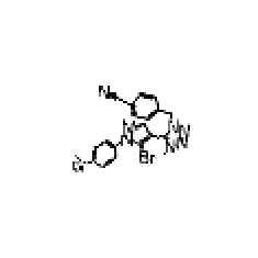 N#Cc1ccc(Cn2nnnc2-c2cnn(-c3ccc(Br)cc3)c2Br)cc1